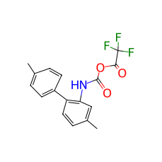 Cc1ccc(-c2ccc(C)cc2NC(=O)OC(=O)C(F)(F)F)cc1